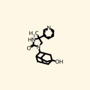 CC1(c2cccnc2)CN(C2C3CC4CC2CC(O)(C4)C3)C(=O)N1